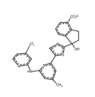 Cc1cc(Nc2cc(C(F)(F)F)ccn2)nc(-c2cnc(C3(O)CCc4c(C(=O)O)cccc43)s2)c1